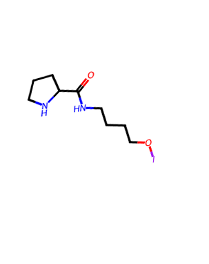 O=C(NCCCCOI)C1CCCN1